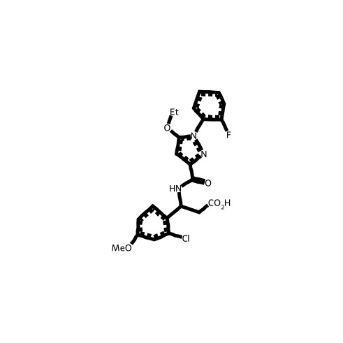 CCOc1cc(C(=O)NC(CC(=O)O)c2ccc(OC)cc2Cl)nn1-c1ccccc1F